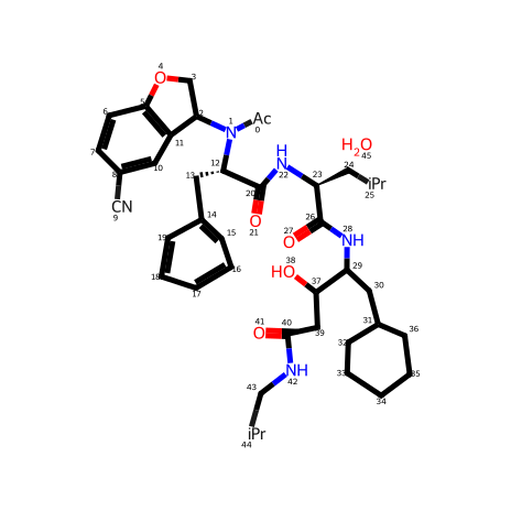 CC(=O)N(C1COc2ccc(C#N)cc21)[C@@H](Cc1ccccc1)C(=O)N[C@@H](CC(C)C)C(=O)NC(CC1CCCCC1)C(O)CC(=O)NCC(C)C.O